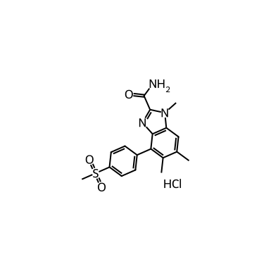 Cc1cc2c(nc(C(N)=O)n2C)c(-c2ccc(S(C)(=O)=O)cc2)c1C.Cl